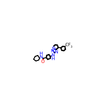 O=C(NC1CCCCC1)c1ccc(Nc2nc3c(-c4cccc(C(F)(F)F)c4)cccn3n2)cc1